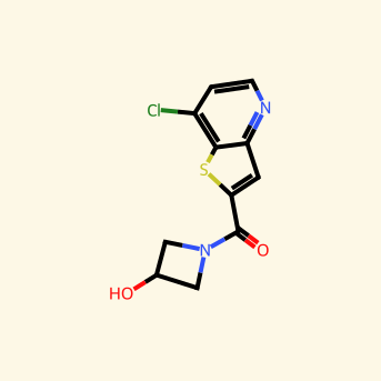 O=C(c1cc2nccc(Cl)c2s1)N1CC(O)C1